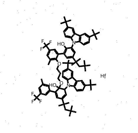 Cc1cc(C2=CC(C(C)(C)CC(C)(C)C)=CC(n3c4ccc(C(C)(C)C)cc4c4cc(C(C)(C)C)ccc43)C2(O)OCCCOc2c(C)cc(C(F)(F)F)cc2-c2cc(C(C)(C)CC(C)(C)C)cc(-n3c4ccc(C(C)(C)C)cc4c4cc(C(C)(C)C)ccc43)c2O)cc(C(F)(F)F)c1.[Hf]